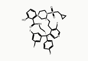 O=C(NCC[C@](c1ccc(F)cc1)(c1cc(F)cc(F)c1)c1cncc(F)c1CC[C@H]1CNCCN1S(=O)(=O)CC1CC1)c1ccccc1O